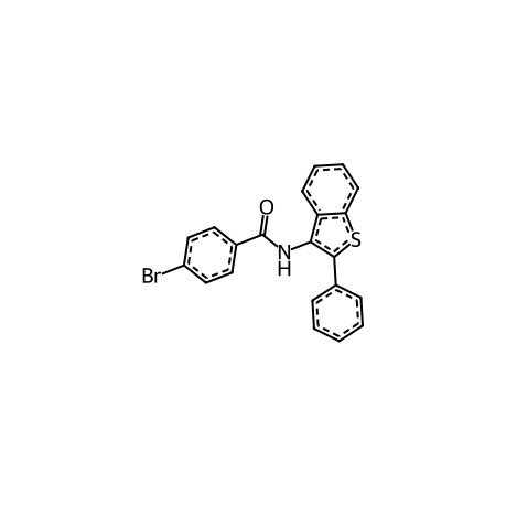 O=C(Nc1c(-c2ccccc2)sc2ccccc12)c1ccc(Br)cc1